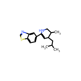 CC(C)CC1C=C(c2ccc3scnc3c2)NCC1C